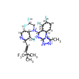 Cc1nnc2nc(N(CC(F)F)c3ccnc(C#CC(C)(C)C(F)(F)F)c3F)c3c(F)c(F)ccc3n12